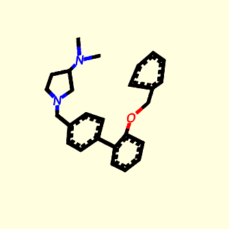 CN(C)C1CCN(Cc2ccc(-c3ccccc3OCc3ccccc3)cc2)C1